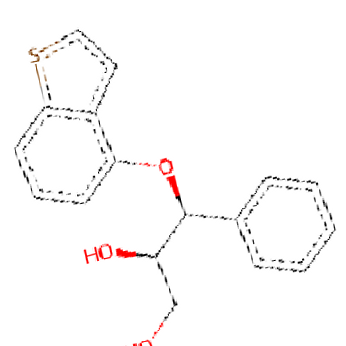 OC[C@@H](O)[C@@H](Oc1cccc2sccc12)c1ccccc1